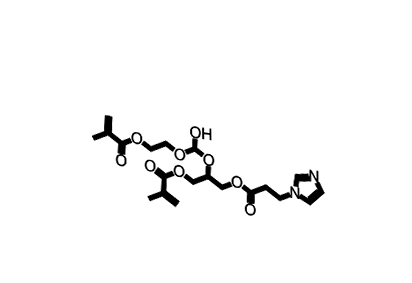 C=C(C)C(=O)OCCOC(O)OC(COC(=O)CCn1ccnc1)COC(=O)C(=C)C